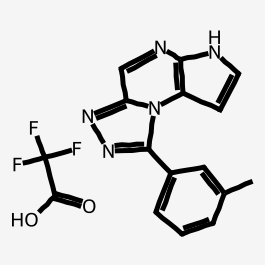 Cc1cccc(-c2nnc3cnc4[nH]ccc4n23)c1.O=C(O)C(F)(F)F